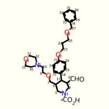 O=CC1CN(C(=O)O)CC(COCCN2CCOCC2)C1c1ccc(OCCCOCc2ccccc2)cc1